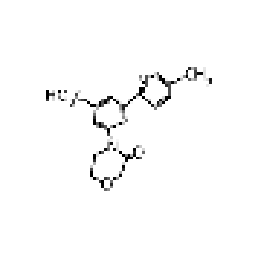 Cc1ccc(-c2cc(C(=O)O)cc(N3CCOCC3=O)c2)nc1